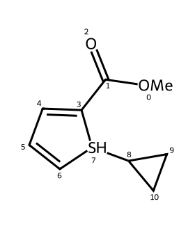 COC(=O)C1=CC=C[SH]1C1CC1